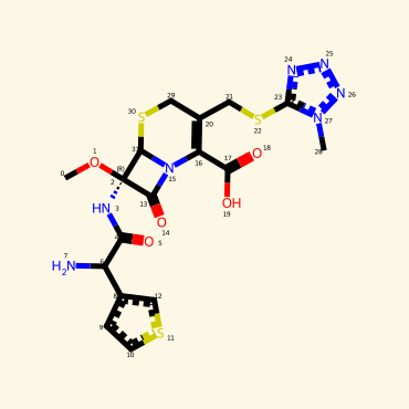 CO[C@]1(NC(=O)C(N)c2ccsc2)C(=O)N2C(C(=O)O)=C(CSc3nnnn3C)CSC21